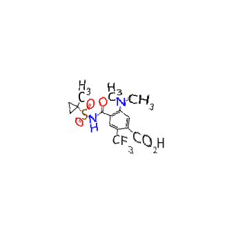 CN(C)c1cc(C(=O)O)c(C(F)(F)F)cc1C(=O)NS(=O)(=O)C1(C)CC1